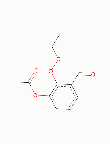 CCOOc1c(C=O)cccc1OC(C)=O